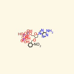 Nc1ncnc2c1ncn2C1CC(OCc2ccccc2[N+](=O)[O-])C(COP(=O)(O)OP(=O)(O)OP(=O)(O)O)O1